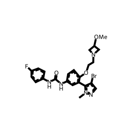 COC1CN(CCOc2ccc(NC(=O)Nc3ccc(F)cc3)cc2-c2c(Br)cnn2C)C1